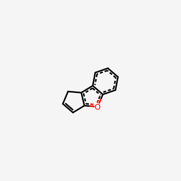 C1=Cc2oc3ccccc3c2C1